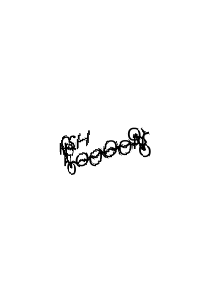 CC(S)OC(=O)N(C)CCN(C)C(=O)CCOCCOCCOCCOCCN1C(=O)CC(C(C)C)C1=O